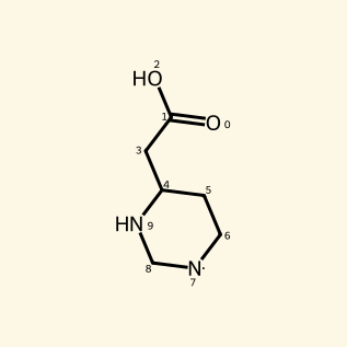 O=C(O)CC1CC[N]CN1